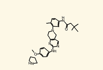 C1CCNC1.COc1ccc(Nc2ncc3c(n2)CCN(c2cc(NC(=O)CC(C)(C)C)ccc2C)C3)cc1